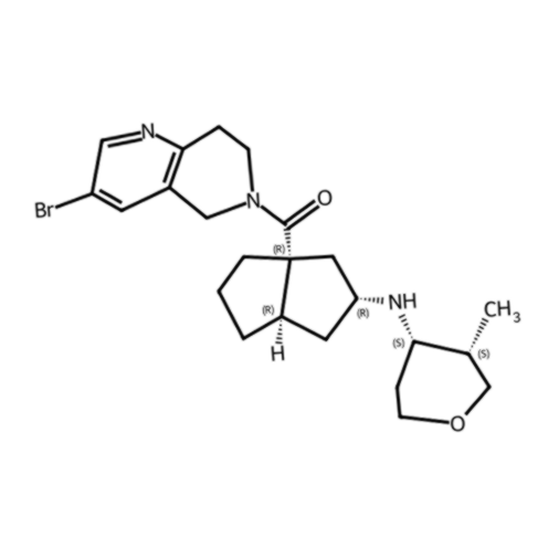 C[C@@H]1COCC[C@@H]1N[C@@H]1C[C@H]2CCC[C@@]2(C(=O)N2CCc3ncc(Br)cc3C2)C1